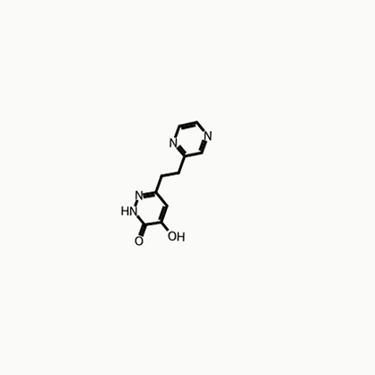 O=c1[nH]nc(CCc2cnccn2)cc1O